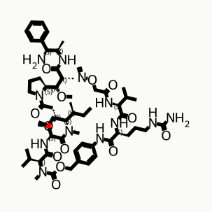 C=NOCC(=O)N[C@H](C(=O)N[C@@H](CCCNC(N)=O)C(=O)Nc1ccc(COC(=O)N(C)[C@H](C(=O)N[C@H](C(=O)N(C)[C@@H]([C@@H](C)CC)[C@@H](CC(=O)N2CCC[C@H]2[C@H](OC)[C@@H](C)C(=O)N[C@H](C)[C@@H](N)c2ccccc2)OC)C(C)C)C(C)C)cc1)C(C)C